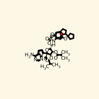 CC(C)C(=O)O[C@H]1[C@@H](OC(=O)C(C)C)[C@](C#N)(c2ccc3c(N)ncnn23)O[C@@H]1CO[P@](=O)(N[C@H](C=O)CC(=O)OC1(C2CCCC2)CCCC1)Oc1ccccc1